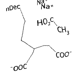 CC(=O)O.CCCCCCCCCCCCC(CC(=O)[O-])C(=O)[O-].[Na+].[Na+]